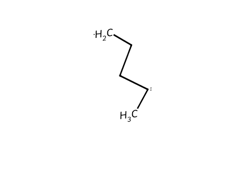 [CH2]CC[C]C